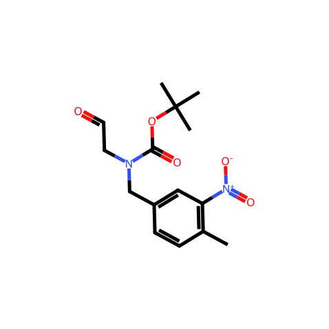 Cc1ccc(CN(CC=O)C(=O)OC(C)(C)C)cc1[N+](=O)[O-]